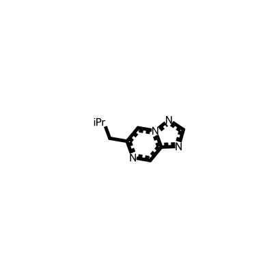 CC(C)Cc1cn2ncnc2cn1